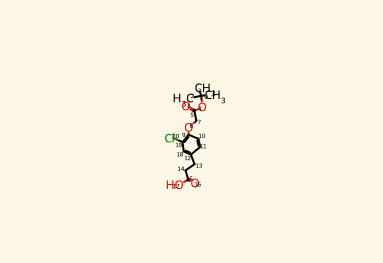 CC(C)(C)OC(=O)COc1ccc(CCC(=O)O)cc1Cl